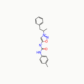 Cc1ccc(NC(=O)[N-]c2c[n+](C(C)Cc3ccccc3)no2)cc1